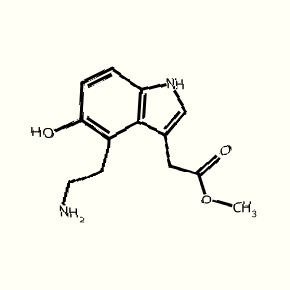 COC(=O)Cc1c[nH]c2ccc(O)c(CCN)c12